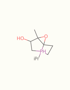 CC(C)[PH]12CCC13OC3(C)C(O)C2